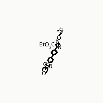 CCOC(=O)c1c(-c2ccc(-c3ccc(S(=O)(=O)N4CCOCC4)cc3)cc2)nnn1COCC[Si](C)(C)C